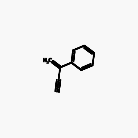 [C]#CC(=C)c1ccccc1